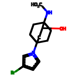 O=C(O)NC12CCC(n3ccc(Br)c3)(CC1)CC2O